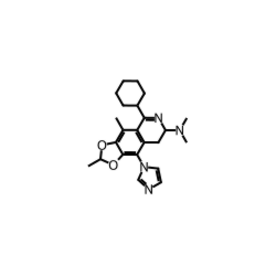 Cc1c2c(c(-n3ccnc3)c3c1C(C1CCCCC1)=NC(N(C)C)C3)OC(C)O2